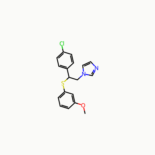 COc1cccc(SC(Cn2ccnc2)c2ccc(Cl)cc2)c1